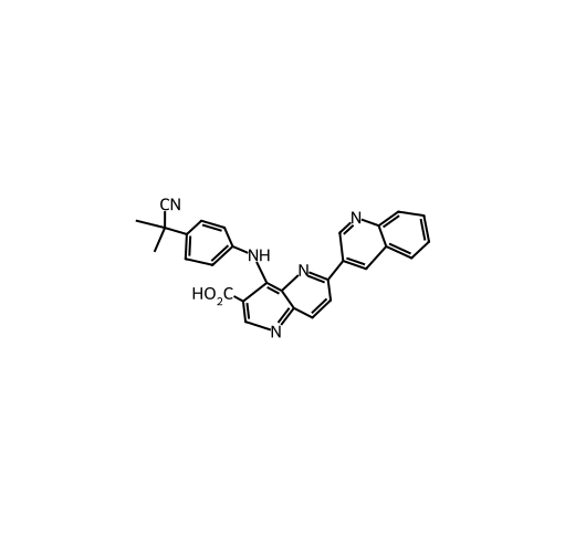 CC(C)(C#N)c1ccc(Nc2c(C(=O)O)cnc3ccc(-c4cnc5ccccc5c4)nc23)cc1